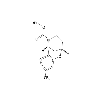 CC(C)(C)OC(=O)N1CC[C@H]2C[C@@H]1c1ccc(C(F)(F)F)cc1O2